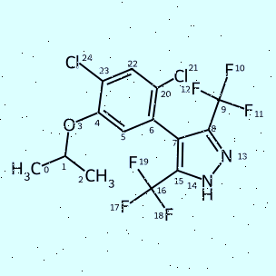 CC(C)Oc1cc(-c2c(C(F)(F)F)n[nH]c2C(F)(F)F)c(Cl)cc1Cl